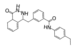 CCc1ccc(NC(=O)c2cccc(CC3NNC(=O)C4CC=CC=C34)c2)cc1